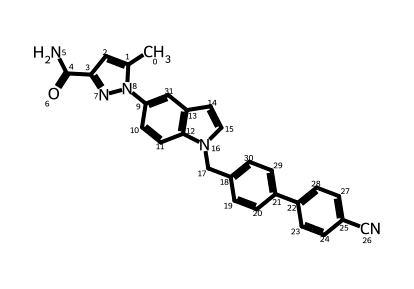 Cc1cc(C(N)=O)nn1-c1ccc2c(ccn2Cc2ccc(-c3ccc(C#N)cc3)cc2)c1